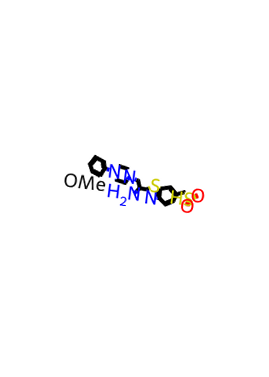 COc1ccccc1N1CCN(CC(N)c2nc3ccc(C[SH](=O)=O)cc3s2)CC1